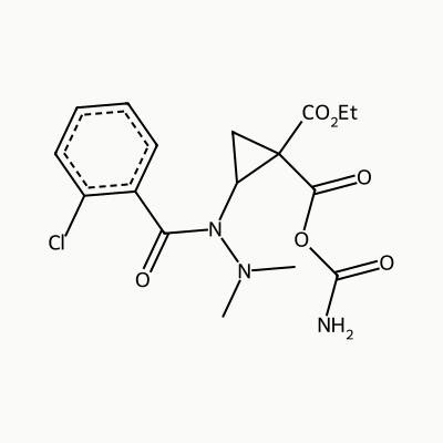 CCOC(=O)C1(C(=O)OC(N)=O)CC1N(C(=O)c1ccccc1Cl)N(C)C